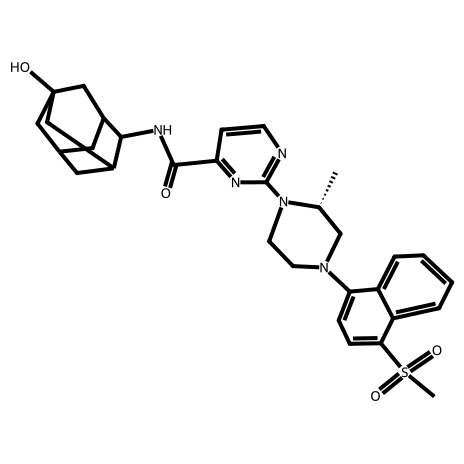 C[C@@H]1CN(c2ccc(S(C)(=O)=O)c3ccccc23)CCN1c1nccc(C(=O)NC2C3CC4CC2CC(O)(C4)C3)n1